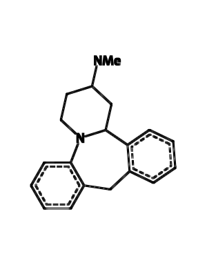 CNC1CCN2c3ccccc3Cc3ccccc3C2C1